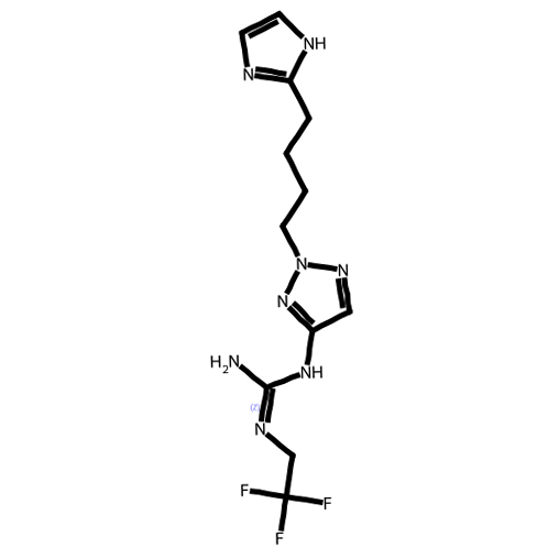 N/C(=N/CC(F)(F)F)Nc1cnn(CCCCc2ncc[nH]2)n1